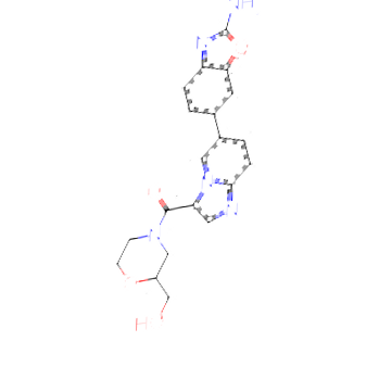 Nc1nc2ccc(-c3ccc4ncc(C(=O)N5CCOC(CO)C5)n4c3)cc2o1